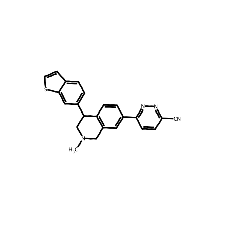 CN1Cc2cc(-c3ccc(C#N)nn3)ccc2C(c2ccc3ccsc3c2)C1